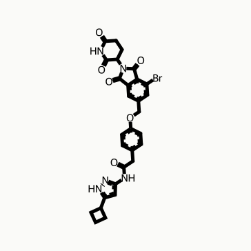 O=C1CCC(N2C(=O)c3cc(COc4ccc(CC(=O)Nc5cc(C6CCC6)[nH]n5)cc4)cc(Br)c3C2=O)C(=O)N1